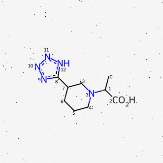 CC(C(=O)O)N1CCCC(c2nnn[nH]2)C1